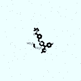 Cc1csc(C(=C2CCN(Cc3cccc(C(=O)N4CCC4(C)C)c3)CC2)c2ccc(F)cc2)c1.O=C(O)C=CC(=O)O